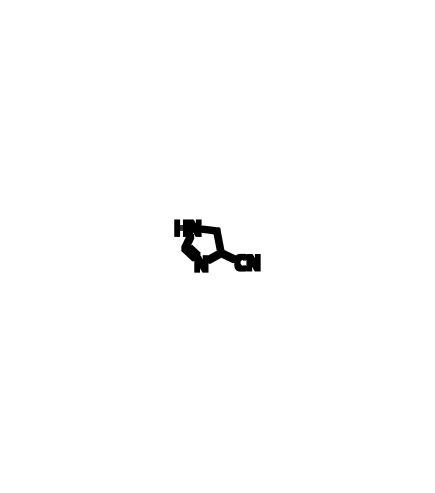 N#CC1CNC=N1